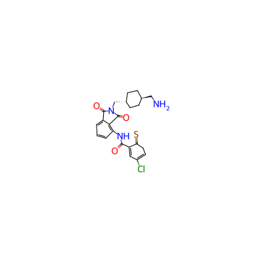 NC[C@H]1CC[C@H](CN2C(=O)c3cccc(NC(=O)C4=CC(Cl)=CCC4=S)c3C2=O)CC1